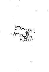 CCO[Si](CCCOCC1CO1)(OCC)OCC.C[Si](C)(O)CCCOCC1CO1